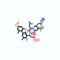 COc1cc(C)c(-c2cc(C)c(F)c(C(CC(=O)O)NC(=O)C(CC(C)C)n3cc(CCN4CCC4)c(C(F)(F)F)cc3=O)c2)c(C)c1